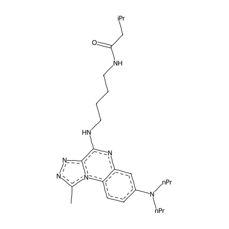 CCCN(CCC)c1ccc2c(c1)nc(NCCCCNC(=O)CC(C)C)c1nnc(C)n12